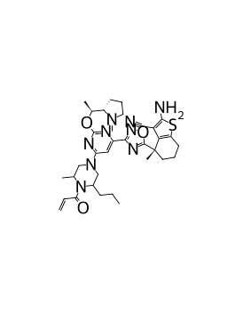 C=CC(=O)N1C(C)CN(c2cc(-c3noc([C@@]4(C)CCCc5sc(N)c(C#N)c54)n3)nc(O[C@@H](C)[C@@H]3CCCN3C)n2)CC1CCC